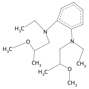 CCN(CC(C)OC)c1ccccc1N(CC)CC(C)OC